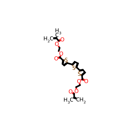 C=C(C)C(=O)OCCOC(=O)c1ccc(-c2ccc(-c3ccc(C(=O)OCCOC(=O)C(=C)C)s3)s2)s1